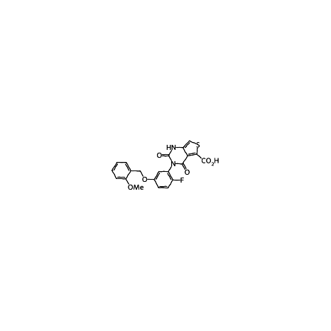 COc1ccccc1COc1ccc(F)c(-n2c(=O)[nH]c3csc(C(=O)O)c3c2=O)c1